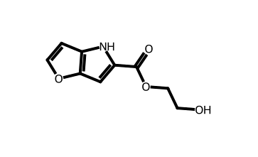 O=C(OCCO)c1cc2occc2[nH]1